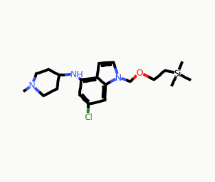 CN1CCC(Nc2cc(Cl)cc3c2ccn3COCC[Si](C)(C)C)CC1